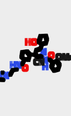 COc1ccccc1C(=O)Nc1nc(-c2ccccc2O)cc(-c2cccc(C(=O)NCCCn3ccnc3)c2)c1C#N